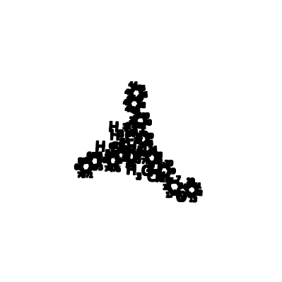 CC1(C)c2cc(C3=CC4c5ccccc5OC4C=C3)ccc2-c2ccc(N(c3ccc4c(c3)C(C)(C)c3cc(-c5ccc6ccccc6c5)ccc3-4)c3ccc4c(c3)C(C)(C)c3cc(-c5ccc6ccccc6c5)ccc3-4)cc21